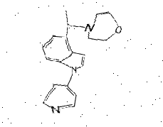 CC(c1cccc2c1ccn2-c1ccncc1)N1CCOCC1